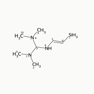 CN(C)C(NC=C[SiH3])N(C)C